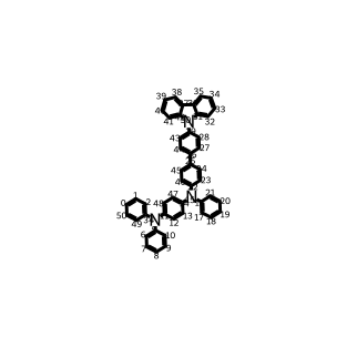 c1ccc(N(c2ccccc2)c2ccc(N(c3ccccc3)c3ccc(-c4ccc(-n5c6ccccc6c6ccccc65)cc4)cc3)cc2)cc1